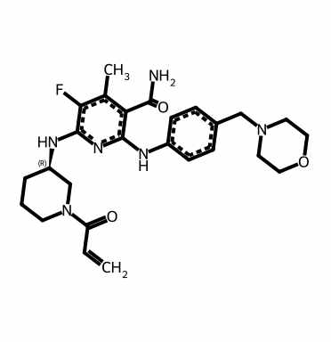 C=CC(=O)N1CCC[C@@H](Nc2nc(Nc3ccc(CN4CCOCC4)cc3)c(C(N)=O)c(C)c2F)C1